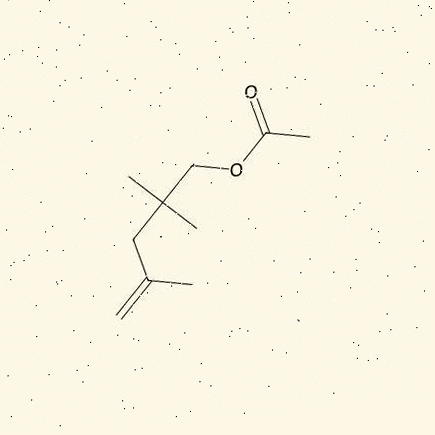 C=C(C)CC(C)(C)COC(C)=O